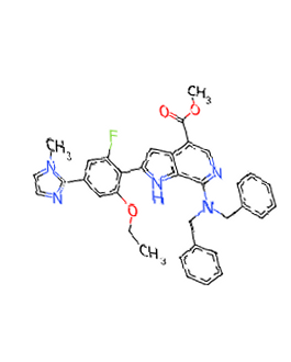 CCOc1cc(-c2nccn2C)cc(F)c1-c1cc2c(C(=O)OC)cnc(N(Cc3ccccc3)Cc3ccccc3)c2[nH]1